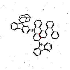 c1ccc(-c2ccccc2-c2ccccc2-c2ccccc2N(c2ccc(-n3c4ccccc4c4ccccc43)cc2)c2ccc3c(c2)C2(c4ccccc4-3)C3CC4CC(C3)CC2C4)cc1